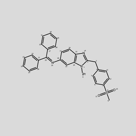 CC(C)n1c(Cc2ccc(S(C)(=O)=O)cc2)nc2ccc(N=C(c3ccccc3)c3ccccc3)cc21